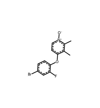 Cc1c(Oc2ccc(Br)cc2F)cc[n+]([O-])c1C